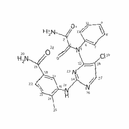 C=C(C(N)=O)N(c1ccccc1)c1nc(Nc2cc(C(N)=O)ccc2C)ncc1Cl